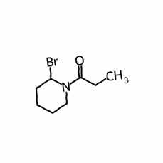 CCC(=O)N1CCCCC1Br